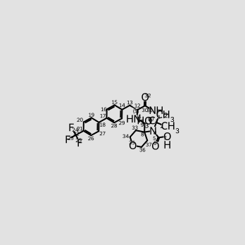 CC(C)(C)N(C(=O)O)C1(C(=O)N[C@@H](Cc2ccc(-c3ccc(C(F)(F)F)cc3)cc2)C(N)=O)CCOCC1